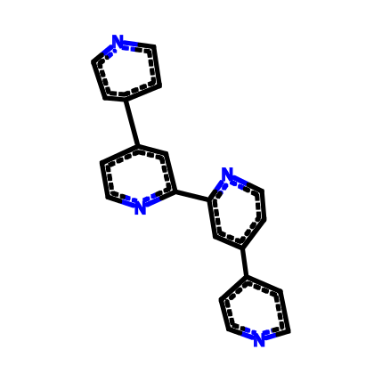 c1cc(-c2ccnc(-c3cc(-c4ccncc4)ccn3)c2)ccn1